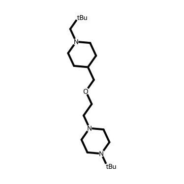 CC(C)(C)CN1CCC(COCCN2CCN(C(C)(C)C)CC2)CC1